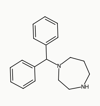 c1ccc(C(c2ccccc2)N2CCCNCC2)cc1